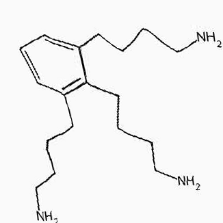 NCCCCc1cccc(CCCCN)c1CCCCN